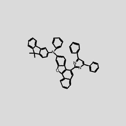 CC1(C)c2ccccc2-c2cc(N(c3ccccc3)c3ccc4c(c3)oc3c5ccccc5cc(-c5nc(-c6ccccc6)cc(-c6ccccc6)n5)c43)ccc21